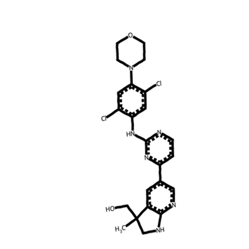 CC1(CO)CNc2ncc(-c3ccnc(Nc4cc(Cl)c(N5CCOCC5)cc4Cl)n3)cc21